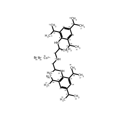 CC(CNCC(C)Nc1c(C(C)C)cc(C(C)C)cc1C(C)C)Nc1c(C(C)C)cc(C(C)C)cc1C(C)C.[Br-].[Br-].[Co+2]